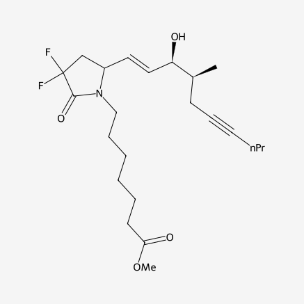 CCCC#CC[C@H](C)[C@H](O)C=CC1CC(F)(F)C(=O)N1CCCCCCC(=O)OC